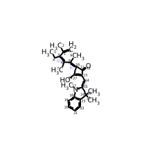 C=C(C)/C(CC)=C(C)\C(C)=C1\C(=O)C(/C=C2\N(C)c3ccccc3C2(C)C)=C1O